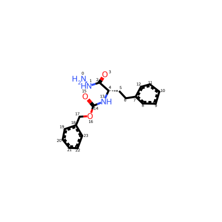 NNC(=O)[C@H](CCc1ccccc1)NC(=O)OCc1ccccc1